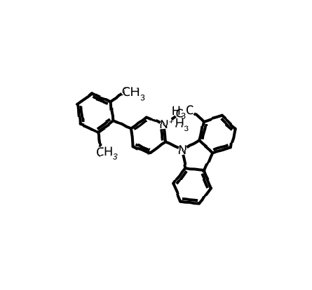 Cc1cccc(C)c1-c1ccc(-n2c3ccccc3c3cccc(C)c32)[n+](C)c1